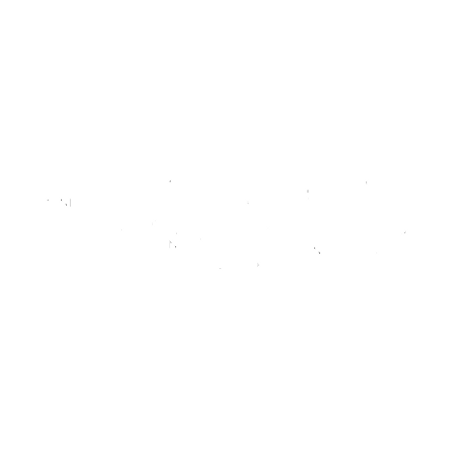 CC(=O)NCCC(=O)Nc1ccc(-c2nc3ccccc3s2)cc1